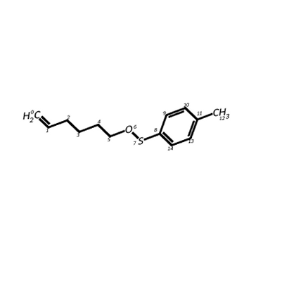 C=CCCCCOSc1ccc(C)cc1